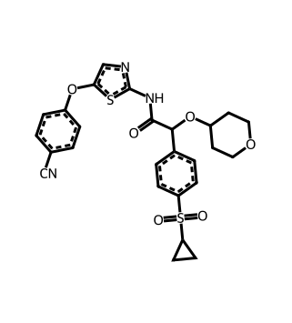 N#Cc1ccc(Oc2cnc(NC(=O)C(OC3CCOCC3)c3ccc(S(=O)(=O)C4CC4)cc3)s2)cc1